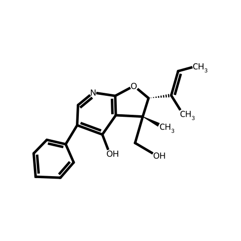 C/C=C(\C)[C@H]1Oc2ncc(-c3ccccc3)c(O)c2[C@@]1(C)CO